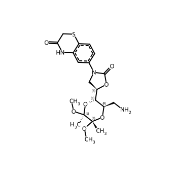 CO[C@@]1(C)O[C@H]([C@H]2CN(c3ccc4c(c3)NC(=O)CS4)C(=O)O2)[C@@H](CN)O[C@]1(C)OC